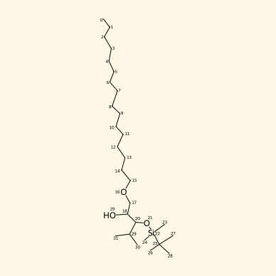 CCCCCCCCCCCCCCCCOCC(O)C(O[Si](C)(C)C(C)(C)C)C(C)C